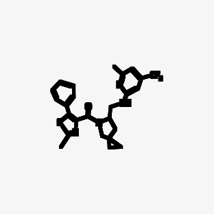 Cc1cc(C(F)(F)F)cc(NCC2CC3(CC3)CN2C(=O)c2nc(C)sc2-c2ccccc2)n1